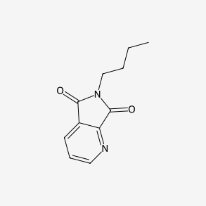 CCCCN1C(=O)c2cccnc2C1=O